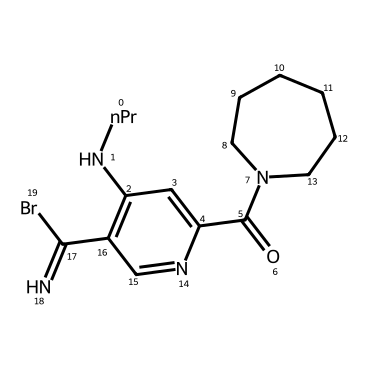 CCCNc1cc(C(=O)N2CCCCCC2)ncc1C(=N)Br